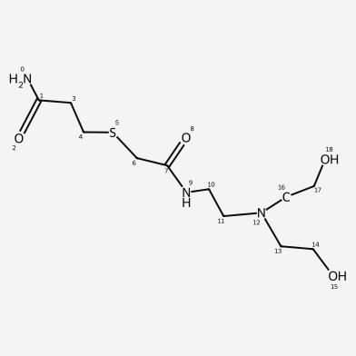 NC(=O)CCSCC(=O)NCCN(CCO)CCO